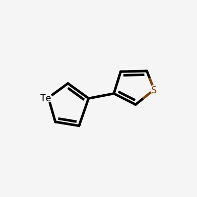 c1cc(-c2cc[te]c2)cs1